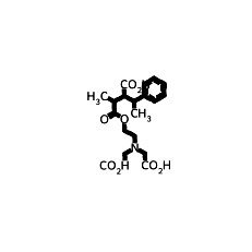 CC(C(=O)OCCN(CC(=O)O)CC(=O)O)C(C(=O)O)C(C)c1ccccc1